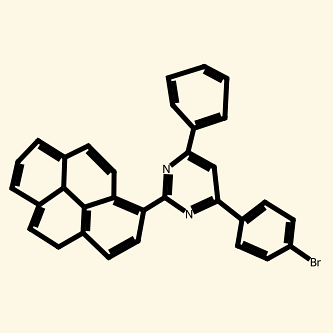 Brc1ccc(-c2cc(-c3ccccc3)nc(-c3ccc4c5c3C=CC3=CC=CC(=CC4)C35)n2)cc1